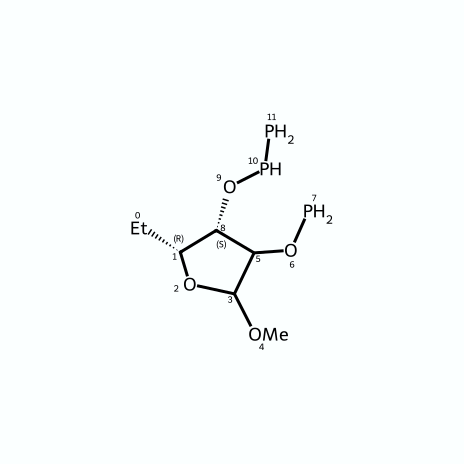 CC[C@H]1OC(OC)C(OP)[C@H]1OPP